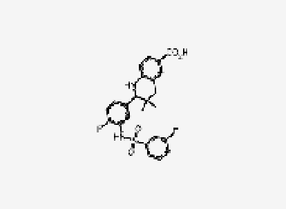 CC1(C)Cc2cc(C(=O)O)ccc2NC1c1ccc(F)c(NS(=O)(=O)c2cccc(F)c2)c1